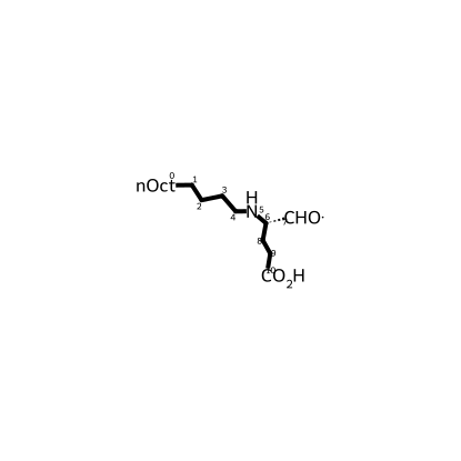 CCCCCCCCCCCCN[C@H]([C]=O)CCC(=O)O